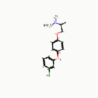 CCN(C(=O)O)C(C)COc1ccc(Oc2cccc(F)c2)cc1